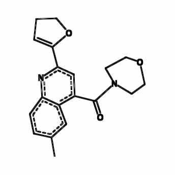 Cc1ccc2nc(C3=CCCO3)cc(C(=O)N3CCOCC3)c2c1